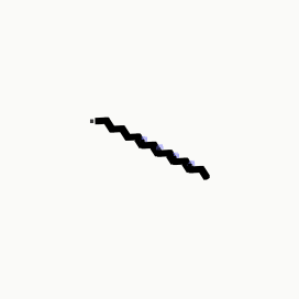 [CH2]CCCC/C=C/C=C/C=C/C=C/CC